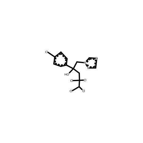 OC(Cn1cncn1)(CC(Cl)(Cl)C(Cl)Cl)c1ccc(Cl)cc1